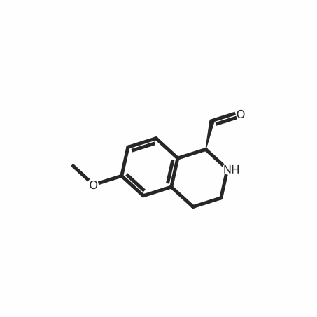 COc1ccc2c(c1)CCN[C@@H]2C=O